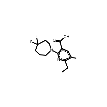 CCc1nc(N2CCCC(F)(F)CC2)c(C(=O)O)cc1C